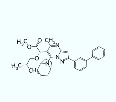 COC(=O)[C@@H](OCC(C)C)c1c(C)nc2cc(-c3cccc(-c4ccccc4)c3)nn2c1N1C2CCCC1CC2